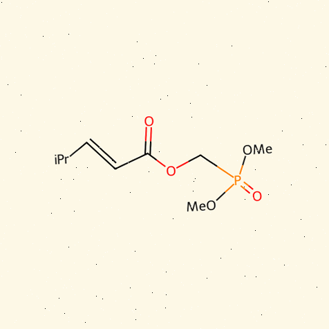 COP(=O)(COC(=O)C=CC(C)C)OC